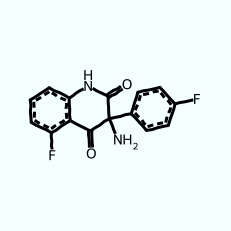 NC1(c2ccc(F)cc2)C(=O)Nc2cccc(F)c2C1=O